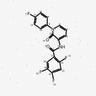 O=C(Nc1cccn(-c2ccc(F)cc2)c1=O)c1cc(F)c(F)cc1F